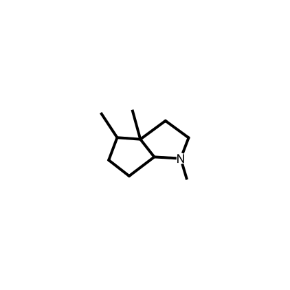 CC1CCC2N(C)CCC12C